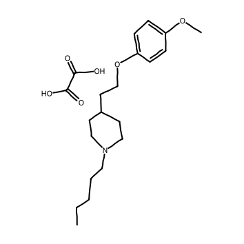 CCCCCN1CCC(CCOc2ccc(OC)cc2)CC1.O=C(O)C(=O)O